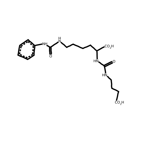 O=C(O)CCCNC(=O)NC(CCCCNC(=O)Nc1ccccc1)C(=O)O